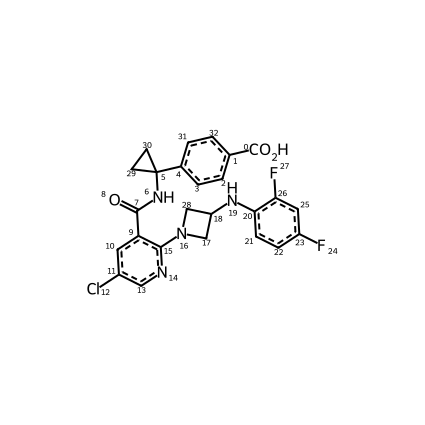 O=C(O)c1ccc(C2(NC(=O)c3cc(Cl)cnc3N3CC(Nc4ccc(F)cc4F)C3)CC2)cc1